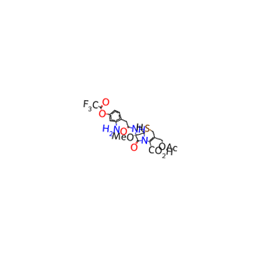 CO[C@@]1(NC(=O)Cc2ccc(OC(=O)C(F)(F)F)cc2N)C(=O)N2C(C(=O)O)=C(COC(C)=O)CS[C@H]21